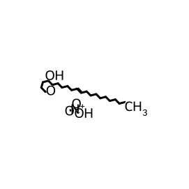 CCCCCCCCCCC=CCCCCC1OCCCC1O.O=[N+]([O-])O